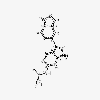 C[C@@H](Nc1ncc2c(-c3ccc4nccn4c3)c[nH]c2n1)C(F)(F)F